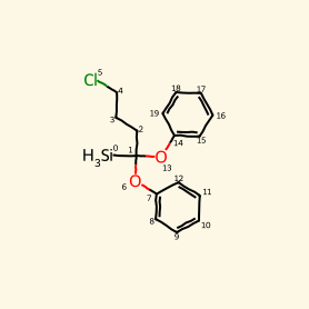 [SiH3]C(CCCCl)(Oc1ccccc1)Oc1ccccc1